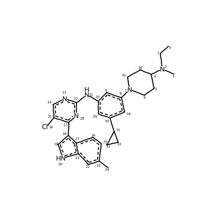 CCN(C)C1CCN(c2cc(Nc3ncc(Cl)c(-c4c[nH]c5cc(C)ccc45)n3)cc(C3CC3)c2)CC1